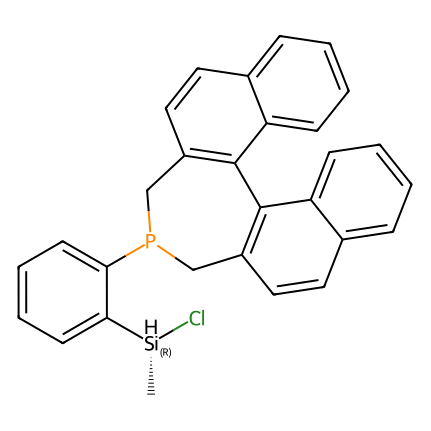 C[Si@@H](Cl)c1ccccc1P1Cc2ccc3ccccc3c2-c2c(ccc3ccccc23)C1